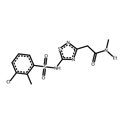 CCN(C)C(=O)Cc1nsc(NS(=O)(=O)c2cccc(Cl)c2C)n1